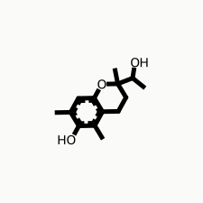 Cc1cc2c(c(C)c1O)CCC(C)(C(C)O)O2